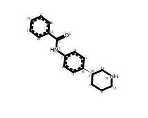 O=C(Nc1ccc([C@H]2CCCNC2)cc1)c1ccccc1